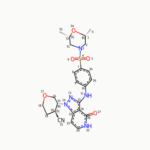 C[C@@H]1CN(S(=O)(=O)c2ccc(Nc3nn([C@H]4COCC[C@@H]4C#N)c4cc[nH]c(=O)c34)cc2)C[C@H](C)O1